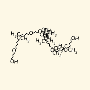 CC(COC(C)(C)CCCCOC(C)(C)CCCCOC(C)(C)CCCCO)C(C)(C)C(C)(C)OCCCOCCCCC(C)(C)OCCCCCOCCCCO